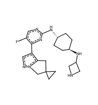 Fc1cnc(N[C@H]2CC[C@H](NC3CNC3)CC2)nc1-c1cnn2c1CC1(CC1)C2